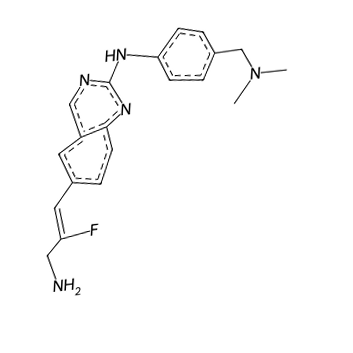 CN(C)Cc1ccc(Nc2ncc3cc(/C=C(\F)CN)ccc3n2)cc1